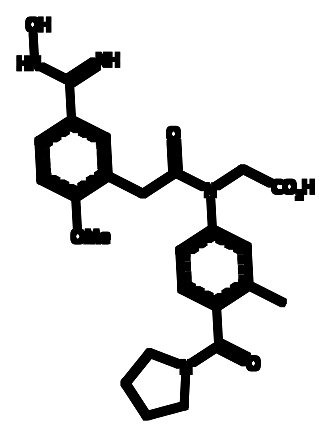 COc1ccc(C(=N)NO)cc1CC(=O)N(CC(=O)O)c1ccc(C(=O)N2CCCC2)c(C)c1